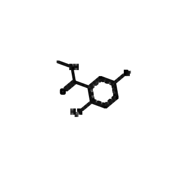 CNC(=O)c1cc(Br)ccc1N